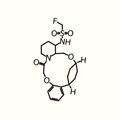 O=C1COc2ccccc2[C@H]2CC[C@H](CC2)OCC2C(NS(=O)(=O)CF)CCCN12